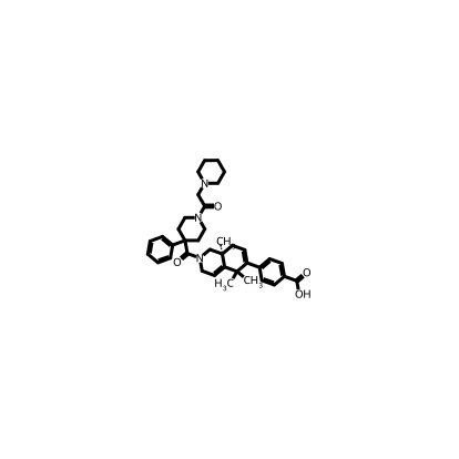 CC1(C)C(c2ccc(C(=O)O)cc2)=CC[C@]2(C)CN(C(=O)C3(c4ccccc4)CCN(C(=O)CN4CCCCC4)CC3)CC=C12